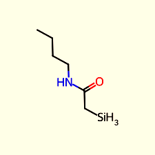 CCCCNC(=O)C[SiH3]